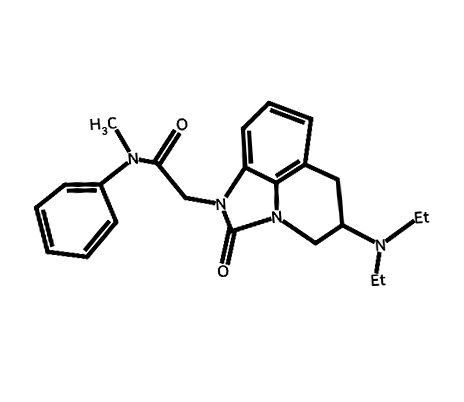 CCN(CC)C1Cc2cccc3c2n(c(=O)n3CC(=O)N(C)c2ccccc2)C1